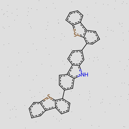 c1ccc2c(c1)sc1c(-c3ccc4c(c3)[nH]c3cc(-c5cccc6c5sc5ccccc56)ccc34)cccc12